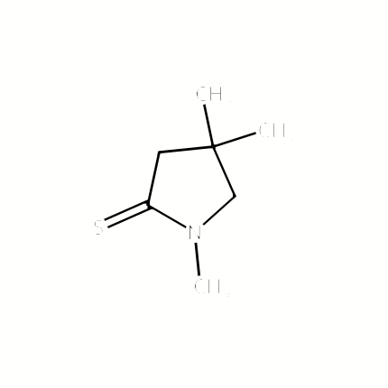 CN1CC(C)(C)CC1=S